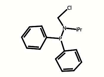 CC(C)N(CCl)P(c1ccccc1)c1ccccc1